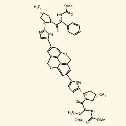 COC(=O)N[C@H](C(=O)N1C[C@@H](C)C[C@H]1c1ncc(-c2cc3c4c(c2)OCc2cc(-c5cnc([C@@H]6C[C@H](C)CN6C(=O)[C@H](NC(=O)OC)c6ccccc6)[nH]5)cc(c2-4)OC3)[nH]1)[C@@H](C)OC